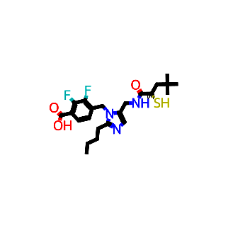 CCCCc1ncc(CNC(=O)[C@H](S)CC(C)(C)C)n1Cc1ccc(C(=O)O)c(F)c1F